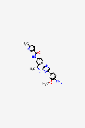 COc1cc(-c2cncc(N[C@@H](C)c3cccc(NC(=O)c4ccc(C)nc4)c3)n2)ccc1N